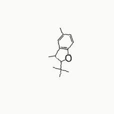 Cc1ccc2c(c1)C(C)C(C(C)(C)C)O2